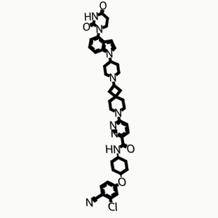 N#Cc1ccc(O[C@H]2CC[C@H](NC(=O)c3ccc(N4CCC5(CC4)CC(N4CCC(n6ccc7c(N8CCC(=O)NC8=O)cccc76)CC4)C5)nn3)CC2)cc1Cl